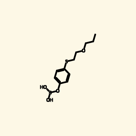 CCCOCCSc1ccc(OB(O)O)cc1